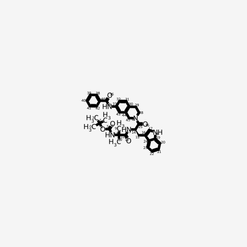 CC(C)(C)OC(=O)NC(C)(C)C(=O)N[C@H](Cc1c[nH]c2ccccc12)C(=O)N1CCc2ccc(NC(=O)c3ccccc3)cc2C1